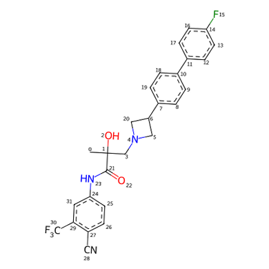 CC(O)(CN1CC(c2ccc(-c3ccc(F)cc3)cc2)C1)C(=O)Nc1ccc(C#N)c(C(F)(F)F)c1